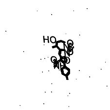 CNC(=O)c1c(-c2ccc(C)cc2)oc2nc3c(cc12)C(C)C(O)CCN3S(C)(=O)=O